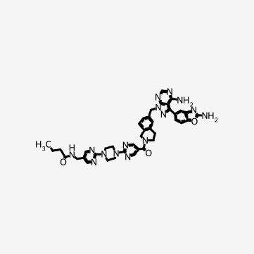 CCCC(=O)NCc1cnc(N2CCN(c3ncc(C(=O)N4CCc5cc(Cn6nc(-c7ccc8oc(N)nc8c7)c7c(N)ncnc76)ccc5C4)cn3)CC2)nc1